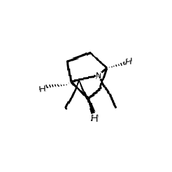 C[C@@H]1[C@H]2CC[C@H](CC2)N1C